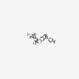 Cc1cc2c(cnn2-c2ccc(F)cc2)cc1[C@@]12CN(S(=O)(=O)CC3CC3)C[C@@H]1[C@H]2C